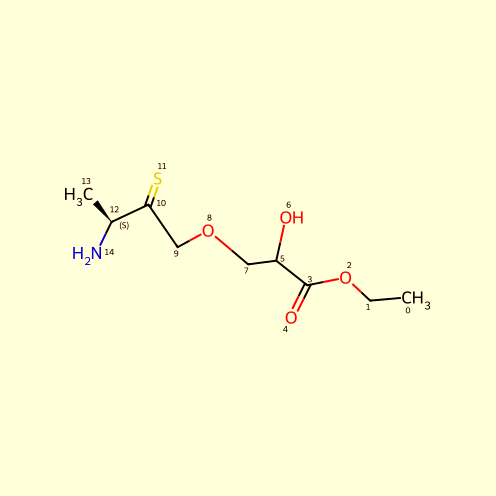 CCOC(=O)C(O)COCC(=S)[C@H](C)N